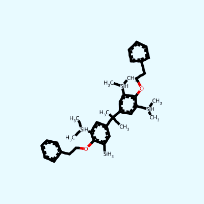 C[SiH](C)c1cc(C(C)(C)c2cc([SiH](C)C)c(OCCc3ccccc3)c([SiH](C)C)c2)cc([SiH3])c1OCCc1ccccc1